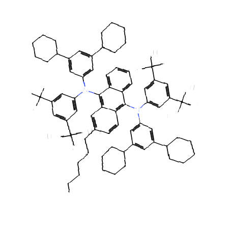 CCCCCCc1ccc2c(N(c3cc(C4CCCCC4)cc(C4CCCCC4)c3)c3cc(C(C)(C)C)cc(C(C)(C)C)c3)c3ccccc3c(N(c3cc(C4CCCCC4)cc(C4CCCCC4)c3)c3cc(C(C)(C)C)cc(C(C)(C)C)c3)c2c1